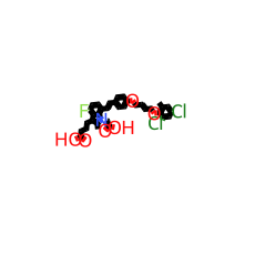 Cc1cc(Cl)cc(Cl)c1OC/C=C/COc1ccc(C=Cc2ccc(F)c3c(CCCC(=O)O)c(C)n(CC(=O)O)c23)cc1